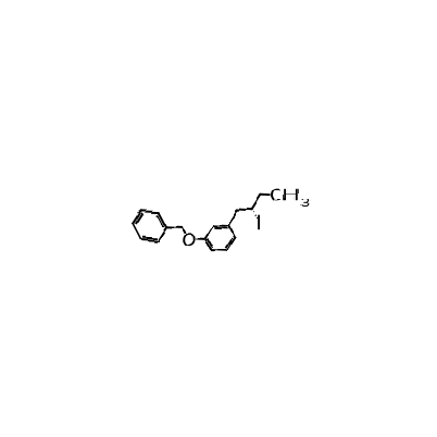 CC[C@H](I)Cc1cccc(OCc2ccccc2)c1